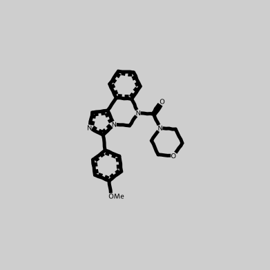 COc1ccc(-c2ncc3n2CN(C(=O)N2CCOCC2)c2ccccc2-3)cc1